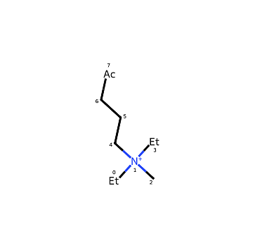 CC[N+](C)(CC)CCCC(C)=O